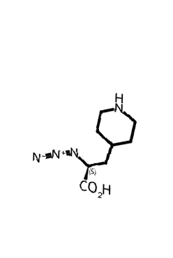 [N-]=[N+]=N[C@@H](CC1CCNCC1)C(=O)O